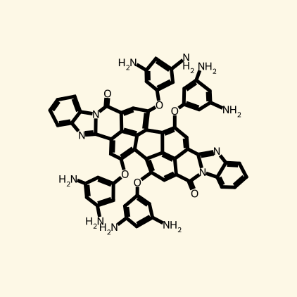 Nc1cc(N)cc(Oc2cc3c(=O)n4c5ccccc5nc4c4cc(Oc5cc(N)cc(N)c5)c5c6c(Oc7cc(N)cc(N)c7)cc7c(=O)n8c9ccccc9nc8c8cc(Oc9cc(N)cc(N)c9)c(c2c5c34)c6c78)c1